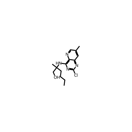 CCCCC(C)(CO)Nc1nc(Cl)nc2cc(C)cnc12